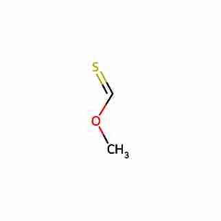 COC=S